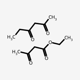 CCC(=O)CC(C)=O.CCOC(=O)CC(C)=O